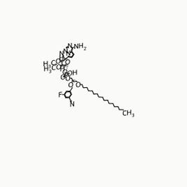 CCCCCCCCCCCCCCCCCCOC[C@H](COP(=O)(O)OC[C@H]1O[C@@](C#N)(c2ccc3c(N)ncnn23)[C@@H]2OC(C)(C)O[C@@H]21)OCc1cc(F)cc(C#N)c1